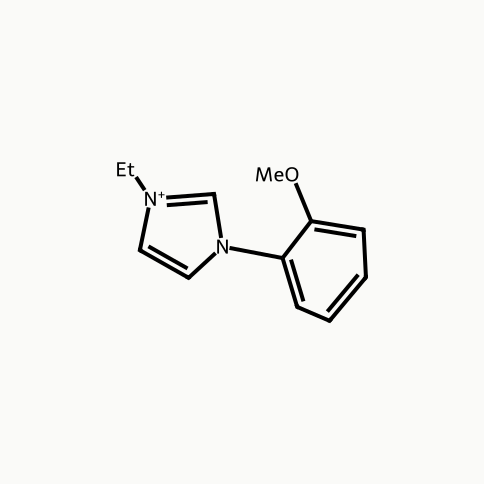 CC[n+]1ccn(-c2ccccc2OC)c1